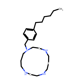 CCCCCCc1ccc(CN2CCCNCCNCCCNCC2)cc1